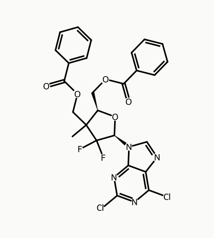 CC1(COC(=O)c2ccccc2)[C@@H](COC(=O)c2ccccc2)O[C@@H](n2cnc3c(Cl)nc(Cl)nc32)C1(F)F